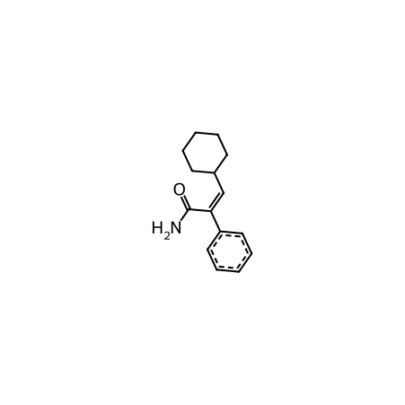 NC(=O)C(=CC1CCCCC1)c1ccccc1